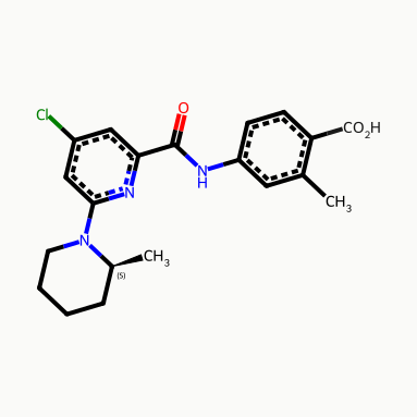 Cc1cc(NC(=O)c2cc(Cl)cc(N3CCCC[C@@H]3C)n2)ccc1C(=O)O